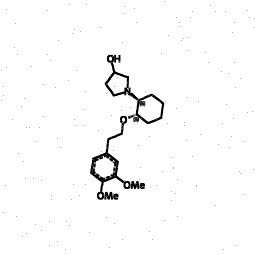 COc1ccc(CCO[C@H]2CCCC[C@@H]2N2CCC(O)C2)cc1OC